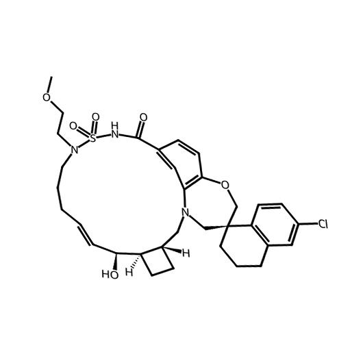 COCCN1CCC/C=C/[C@H](O)[C@@H]2CC[C@H]2CN2C[C@@]3(CCCc4cc(Cl)ccc43)COc3ccc(cc32)C(=O)NS1(=O)=O